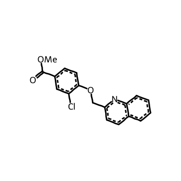 COC(=O)c1ccc(OCc2ccc3ccccc3n2)c(Cl)c1